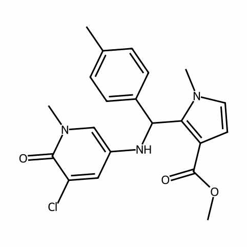 COC(=O)c1ccn(C)c1C(Nc1cc(Cl)c(=O)n(C)c1)c1ccc(C)cc1